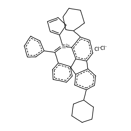 C1=CC[C]([Ti+2](=[C](c2ccccc2)c2ccccc2)[c]2c(C3CCCCC3)ccc3c2Cc2cc(C4CCCCC4)ccc2-3)=C1.[Cl-].[Cl-]